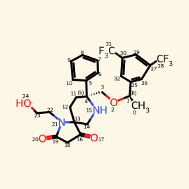 C[C@@H](OC[C@@]1(c2ccccc2)CCC2(CN1)C(=O)CC(=O)N2CCO)c1cc(C(F)(F)F)cc(C(F)(F)F)c1